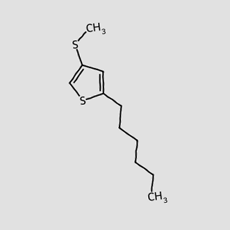 CCCCCCc1cc(SC)cs1